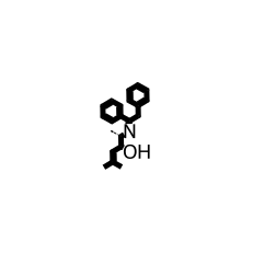 CC(C)=CC(O)[C@H](C)/N=C(/Cc1ccccc1)c1ccccc1